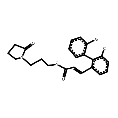 O=C(/C=C/c1cc[c]c(Cl)c1-c1ccccc1Br)NCCCN1CCCC1=O